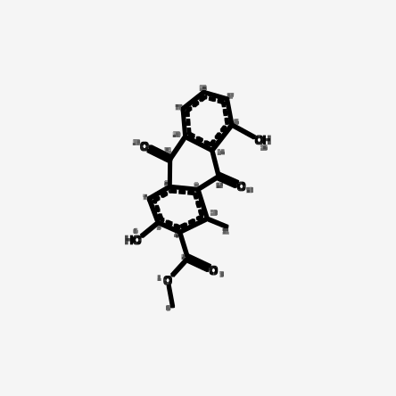 COC(=O)c1c(O)cc2c(c1C)C(=O)c1c(O)cccc1C2=O